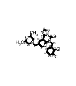 CC1CN(Cc2cnc3c(c2)c2ncnn2c(=O)n3Cc2cccc(Cl)c2Cl)CC(C)O1